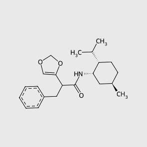 CC(C)[C@@H]1CC[C@@H](C)C[C@@H]1NC(=O)C(Cc1ccccc1)C1=COCO1